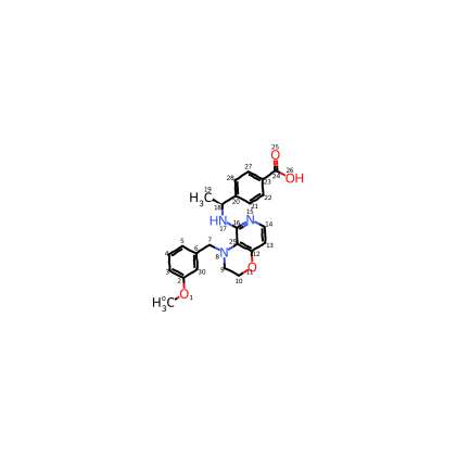 COc1cccc(CN2CCOc3ccnc(N[C@@H](C)c4ccc(C(=O)O)cc4)c32)c1